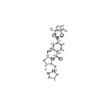 C[C@H]1CCCN1CC1CCCN1C(=O)c1ccc(B2OC(C)(C)C(C)(C)O2)cc1F